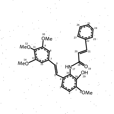 COc1ccc(C=Cc2cc(OC)c(OC)c(OC)c2)c(NC(=O)C=Cc2ccccc2)c1O